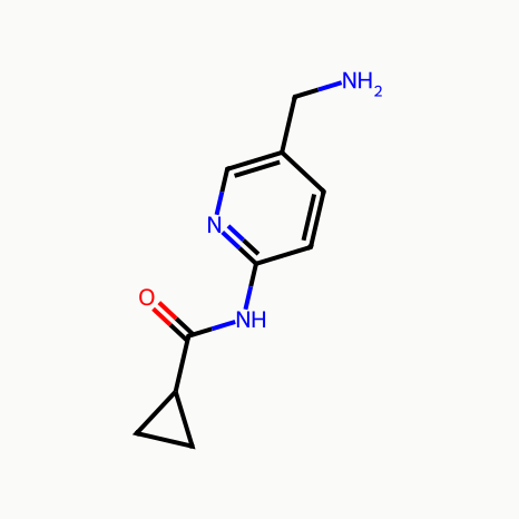 NCc1ccc(NC(=O)C2CC2)nc1